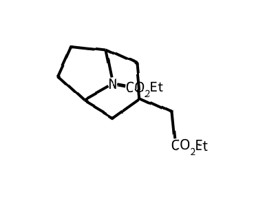 CCOC(=O)CC1CC2CCC(C1)N2C(=O)OCC